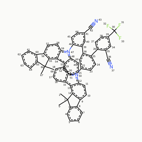 CC1(C)c2ccccc2-c2ccc3c(c21)c1ccccc1n3-c1ccc(-c2ccc(C(F)(F)F)cc2C#N)c(-c2cc(C#N)ccc2-n2c3ccccc3c3c4c(ccc32)-c2ccccc2C4(C)C)c1